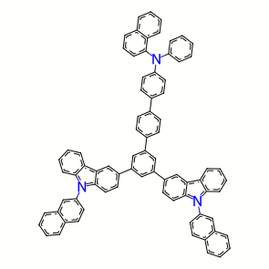 c1ccc(N(c2ccc(-c3ccc(-c4cc(-c5ccc6c(c5)c5ccccc5n6-c5ccc6ccccc6c5)cc(-c5ccc6c(c5)c5ccccc5n6-c5ccc6ccccc6c5)c4)cc3)cc2)c2cccc3ccccc23)cc1